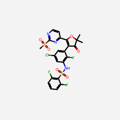 CC1(C)OC(c2ccnc(S(C)(=O)=O)n2)=C(c2cc(Cl)cc(NS(=O)(=O)c3c(F)cccc3F)c2F)C1=O